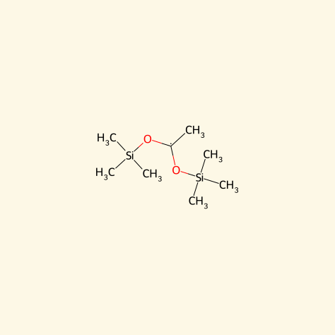 C[C](O[Si](C)(C)C)O[Si](C)(C)C